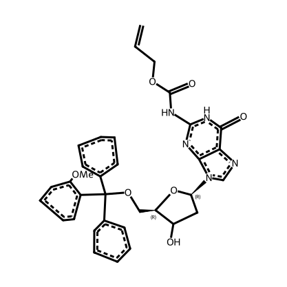 C=CCOC(=O)Nc1nc2c(ncn2[C@H]2CC(O)[C@@H](COC(c3ccccc3)(c3ccccc3)c3ccccc3OC)O2)c(=O)[nH]1